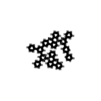 c1ccc(-c2ccc(-c3cc(-c4ccccc4)nc(N4c5ccccc5-c5nc6ccc(-c7cc(-c8ccccc8)cc(-c8cc(-c9ccccc9)nc(N9c%10ccccc%10-c%10nc%11ccccc%11c%11cccc9c%10%11)n8)c7)cc6c6cccc4c56)n3)cc2)cc1